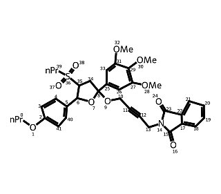 CCCOc1ccc(C2OC(OCC#CCN3C(=O)c4ccccc4C3=O)(c3cc(OC)c(OC)c(OC)c3)CC2S(=O)(=O)CCC)cc1